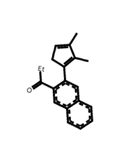 CCC(=O)c1cc2ccccc2cc1C1=C(C)C(C)=CC1